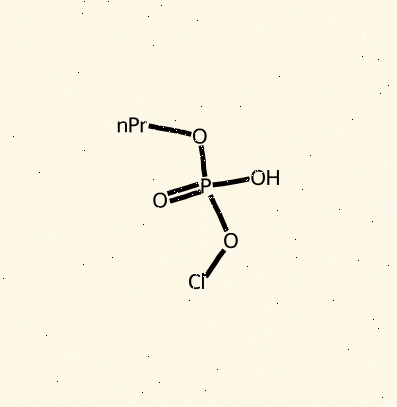 CCCOP(=O)(O)OCl